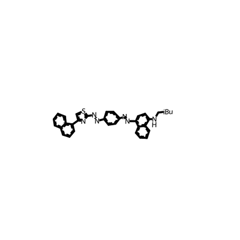 CCC(C)CNc1ccc(/N=N/c2ccc(/N=N/c3nc(-c4cccc5ccccc45)cs3)cc2)c2ccccc12